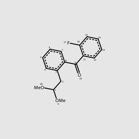 COC(Cc1ccccc1C(=O)c1ccccc1F)OC